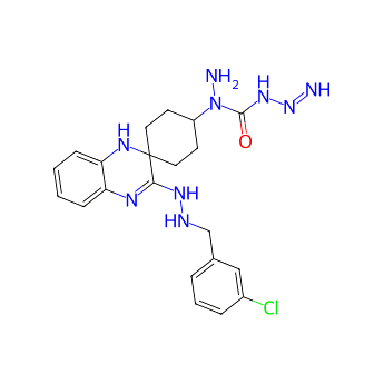 N=NNC(=O)N(N)C1CCC2(CC1)Nc1ccccc1N=C2NNCc1cccc(Cl)c1